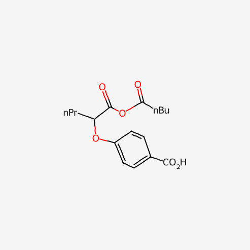 CCCCC(=O)OC(=O)C(CCC)Oc1ccc(C(=O)O)cc1